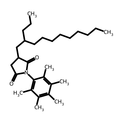 CCCCCCCCCC(CCC)CC1CC(=O)N(c2c(C)c(C)c(C)c(C)c2C)C1=O